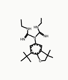 CCNC(=N)N(C(=N)NCC)c1cc(C(C)(C)C)c2c(c1)C(C)(C)CO2